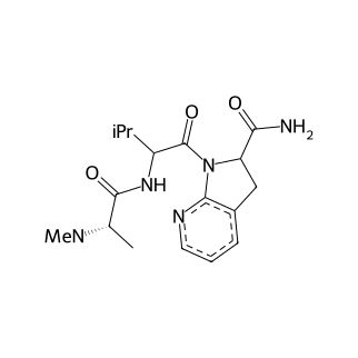 CN[C@@H](C)C(=O)NC(C(=O)N1c2ncccc2CC1C(N)=O)C(C)C